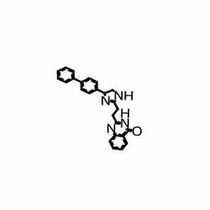 O=c1[nH]c(CCC2=NC(c3ccc(-c4ccccc4)cc3)CN2)nc2ccccc12